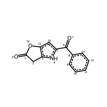 O=C1Cc2[nH]c(C(=O)c3ccccc3)cc2O1